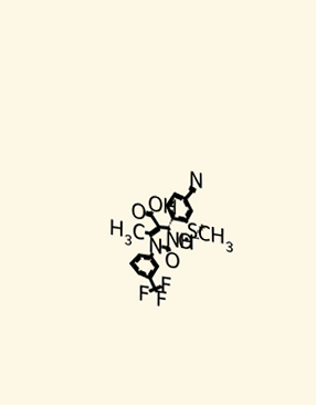 CC1=C(C(=O)O)[C@H](c2ccc(C#N)cc2[S+](C)[O-])NC(=O)N1c1cccc(C(F)(F)F)c1